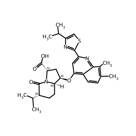 Cc1ccc2c(O[C@@H]3C[C@@H](C(=O)O)N4C(=O)[C@@H](C(C)C)CC[C@H]34)cc(-c3nc(C(C)C)cs3)nc2c1C